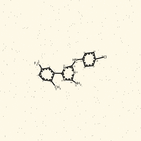 Cc1ccc(C(F)(F)F)cc1-c1nc(N)nc(Nc2ccc(Cl)cc2)n1